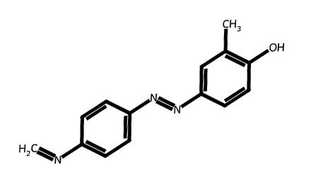 C=Nc1ccc(N=Nc2ccc(O)c(C)c2)cc1